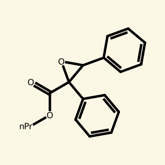 CCCOC(=O)C1(c2ccccc2)OC1c1ccccc1